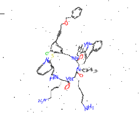 Cc1[nH]c2ccccc2c1C[C@H]1C(=O)NCc2cc(C#CCOCc3ccccc3)cc(Cl)c2Sc2ncccc2CN[C@@H](CCCN)C(=O)N[C@@H](CCCCN)C(=O)N1C